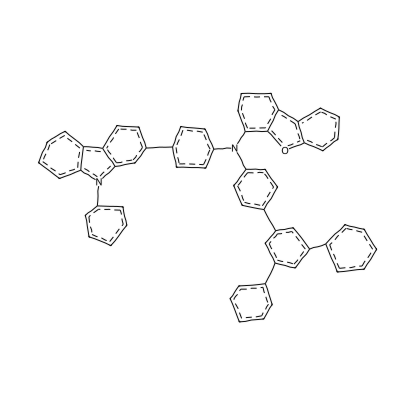 c1ccc(-c2cc(-c3ccccc3)cc(-c3ccc(N(c4ccc(-c5ccc6c7ccccc7n(-c7ccccc7)c6c5)cc4)c4cccc5c4oc4ccccc45)cc3)c2)cc1